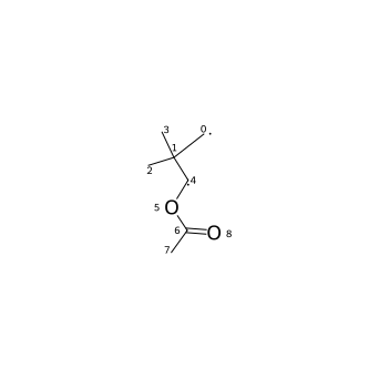 [CH2]C(C)(C)[CH]OC(C)=O